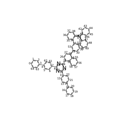 c1ccc(-c2ccc(-c3nc(-c4ccc(-c5ccccc5)cc4)nc(-c4ccc(-c5cccc(-c6ccccc6-n6c7ccccc7c7ccccc76)c5)c5ccccc45)n3)cc2)cc1